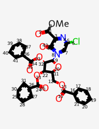 COC(=O)c1nc(Cl)cn([C@@H]2OC(COC(=O)c3ccccc3)C(OC(=O)c3ccccc3)[C@@H]2OC(=O)c2ccccc2)c1=O